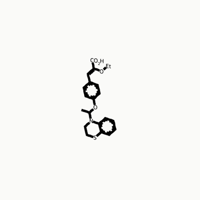 CCO/C(=C\c1ccc(OC(C)N2CCSc3ccccc32)cc1)C(=O)O